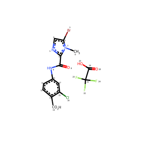 Cn1c(Br)cnc1C(=O)Nc1ccc(C(=O)O)c(Cl)c1.O=C(O)C(F)(F)F